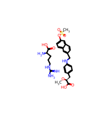 CO[C@@H](Cc1ccc(NCc2ccc3cc(OS(C)(=O)=O)ccc3c2)cc1)C(=O)O.N=C(N)NCCCC(N)C(=O)O